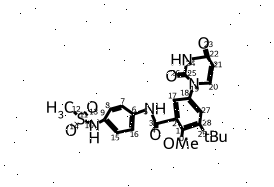 COc1c(C(=O)Nc2ccc(NS(C)(=O)=O)cc2)cc(-n2ccc(=O)[nH]c2=O)cc1C(C)(C)C